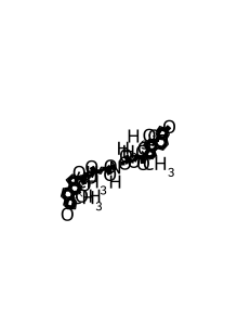 C[C@H]1CC2C3CCC4=CC(=O)C=C[C@]4(C)[C@@]3(F)[C@@H](O)C[C@]2(C)[C@@]1(O)C(=O)COC(=O)OCNOC(=O)CCC(=O)OCC(=O)[C@@]1(O)CCC2C3CCC4=CC(=O)C=C[C@]4(C)C3[C@@H](O)C[C@@]21C